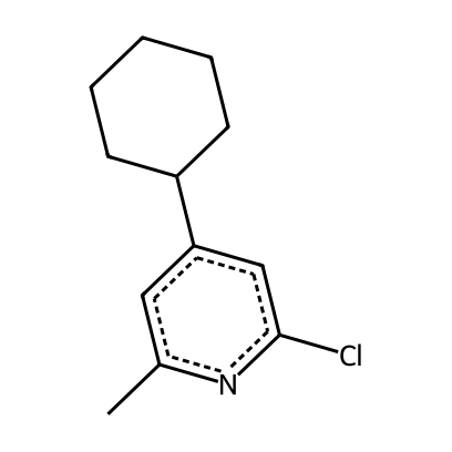 Cc1cc(C2CCCCC2)cc(Cl)n1